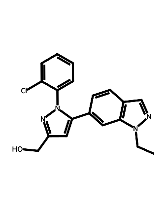 CCn1ncc2ccc(-c3cc(CO)nn3-c3ccccc3Cl)cc21